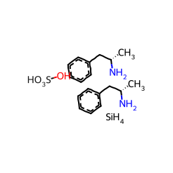 C[C@H](N)Cc1ccccc1.C[C@H](N)Cc1ccccc1.O=S(=O)(O)O.[SiH4]